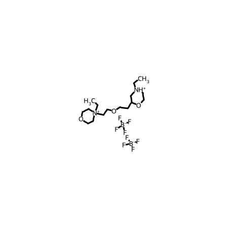 CC[NH+]1CCOC(CCOCC[N+]2(CC)CCOCC2)C1.F[B-](F)(F)F.F[B-](F)(F)F